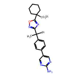 CCOC(=O)C1(c2nc(C(C)(c3ccc(-c4cnc(N)nc4)cc3)C(C)C)no2)CCCCC1